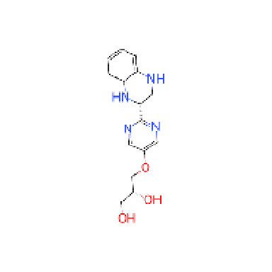 OC[C@@H](O)COc1cnc([C@H]2CNC3=CC=CCC3N2)nc1